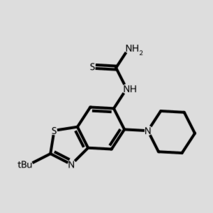 CC(C)(C)c1nc2cc(N3CCCCC3)c(NC(N)=S)cc2s1